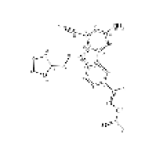 CC(=O)O/N=C(\C)c1ccc2c(c1)c1cc(N)cc(C#N)c1n2CCC1OCCO1